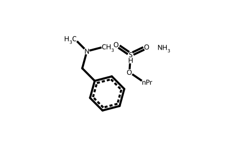 CCCO[SH](=O)=O.CN(C)Cc1ccccc1.N